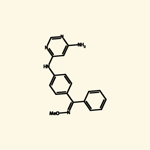 CON=C(c1ccccc1)c1ccc(Nc2cc(N)ncn2)cc1